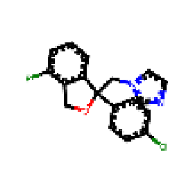 Fc1cccc2c1COC2(Cn1ccnc1)c1ccc(Cl)cc1